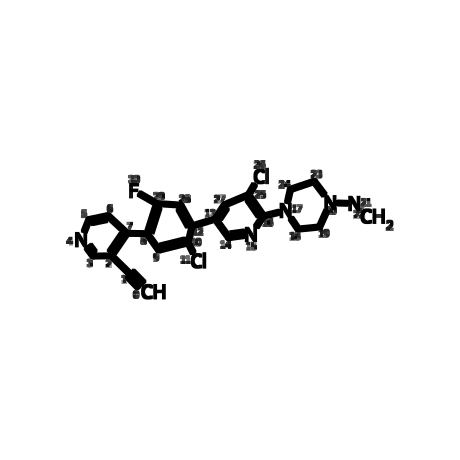 C#Cc1cnccc1-c1cc(Cl)c(-c2cnc(N3CCN(N=C)CC3)c(Cl)c2)cc1F